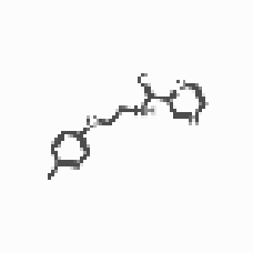 Cc1ccc(OCCNC(=O)c2cnccn2)cc1